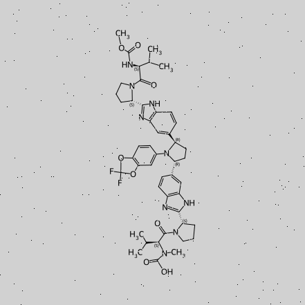 COC(=O)N[C@H](C(=O)N1CCC[C@H]1c1nc2cc([C@H]3CC[C@H](c4ccc5nc([C@@H]6CCCN6C(=O)[C@H](C(C)C)N(C)C(=O)O)[nH]c5c4)N3c3ccc4c(c3)OC(F)(F)O4)ccc2[nH]1)C(C)C